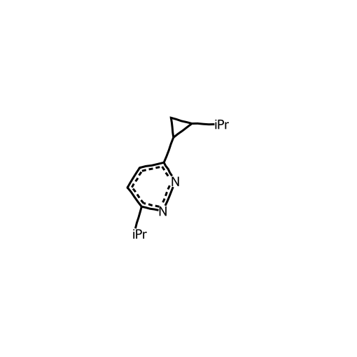 CC(C)c1ccc(C2CC2C(C)C)nn1